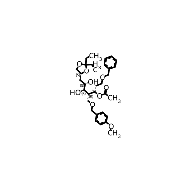 CCC1(CC)OC[C@H](C[C@H](O)[C@H](O)[C@@H](COCc2ccc(OC)cc2)[C@H](CCOCc2ccccc2)OC(C)=O)O1